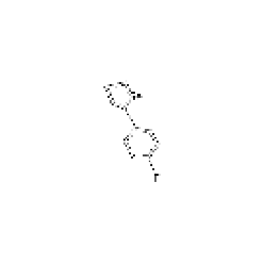 Fc1ccc(-c2ccc[se]2)cc1